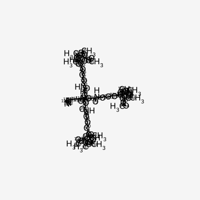 CC(=O)NC1C(OCCOCCOCCOCCNC(=O)CCOCC(COCCC(=O)NCCOCCOCCOCCOC2OC(COC(C)=O)C(OC(C)=O)C(OC(C)=O)C2NC(C)=O)(COCCC(=O)NCCOCCOCCOCCOC2OC(COC(C)=O)C(OC(C)=O)C(OC(C)=O)C2NC(C)=O)NC(=O)CCCCCn2ccnn2)OC(COC(C)=O)C(OC(C)=O)C1OC(C)=O